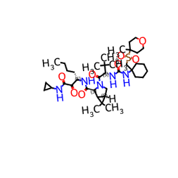 CCCC[C@H](NC(=O)[C@@H]1C2[C@H](CN1C(=O)[C@@H](NC(=O)NC1(CS(=O)(=O)C3(C)CCOCC3)CCCCC1)C(C)(C)C)C2(C)C)C(=O)C(=O)NC1CC1